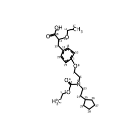 CCOC(=O)N(CCOc1ccc(CC(OCC)C(=O)O)cc1)CCC1CCCC1